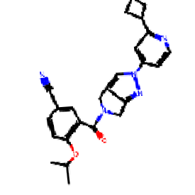 CC(C)Oc1ccc(C#N)cc1C(=O)N1Cc2cn(-c3ccnc(C4CCC4)c3)nc2C1